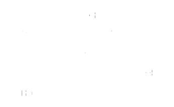 CCc1ccccc1-c1ccc(O)cc1Cl